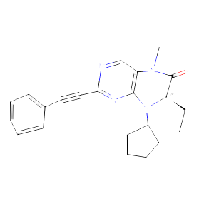 CC[C@@H]1C(=O)N(C)c2cnc(C#Cc3ccccc3)nc2N1C1CCCC1